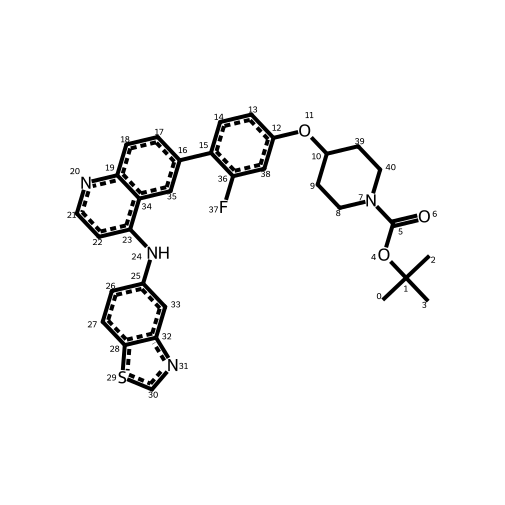 CC(C)(C)OC(=O)N1CCC(Oc2ccc(-c3ccc4nccc(Nc5ccc6scnc6c5)c4c3)c(F)c2)CC1